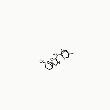 Cc1cnc(NC2=NC[C@@]3(C[N+]4([O-])CCC3CC4)O2)nc1